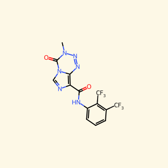 Cn1nnc2c(C(=O)Nc3cccc(C(F)(F)F)c3C(F)(F)F)ncn2c1=O